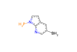 Bc1cnc2c(ccn2P)c1